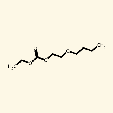 [CH2]COC(=O)OCCOCCCC